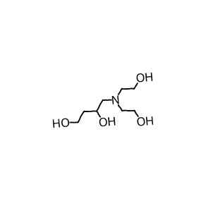 OCCC(O)CN(CCO)CCO